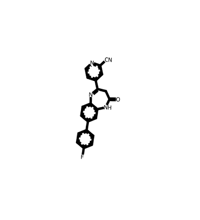 N#Cc1cc(C2=Nc3ccc(-c4ccc(F)cc4)cc3NC(=O)C2)ccn1